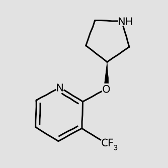 FC(F)(F)c1cccnc1O[C@H]1CCNC1